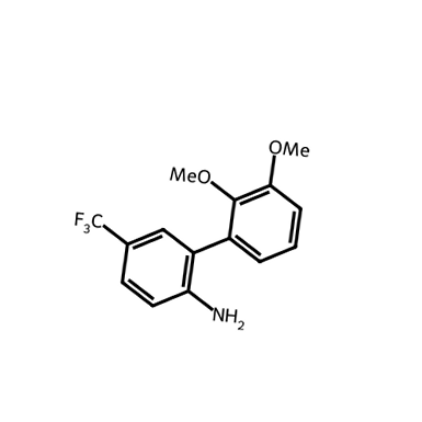 COc1cccc(-c2cc(C(F)(F)F)ccc2N)c1OC